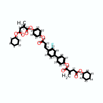 C=C(CC(=O)OC1CCCCC1)C(=O)Oc1ccc(OC(=O)/C=C/c2ccc(-c3ccc(OC(=O)C(=C)CC(=O)OC4CCCCC4)cc3)cc2F)cc1